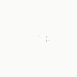 CCCOC(C)OC(C)(C)C